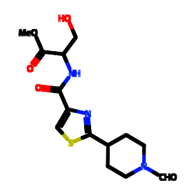 COC(=O)C(CO)NC(=O)c1csc(C2CCN(C=O)CC2)n1